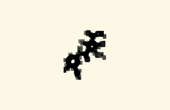 CC(=O)c1c(F)c(C(=O)Nc2ccc(F)c(C#N)c2)n(C)c1Cl